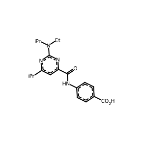 CCN(c1nc(C(=O)Nc2ccc(C(=O)O)cc2)cc(C(C)C)n1)C(C)C